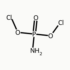 NP(=O)(OCl)OCl